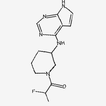 CC(F)C(=O)N1CCCC(Nc2ncnc3[nH]ccc23)C1